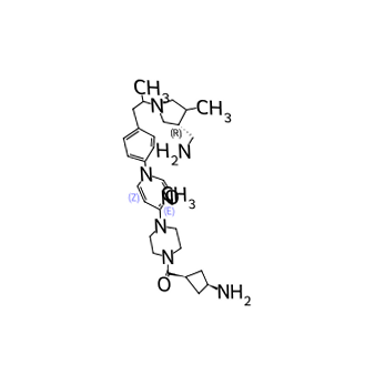 C/N=C(\C=C/N(C=O)c1ccc(CC(C)N2CC(C)[C@H](CN)C2)cc1)N1CCN(C(=O)[C@H]2C[C@@H](N)C2)CC1